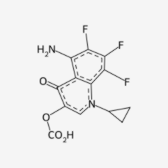 Nc1c(F)c(F)c(F)c2c1c(=O)c(OC(=O)O)cn2C1CC1